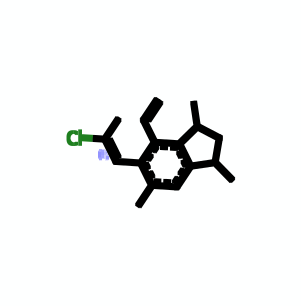 C=Cc1c(/C=C(\C)Cl)c(C)cc2c1C(C)CC2C